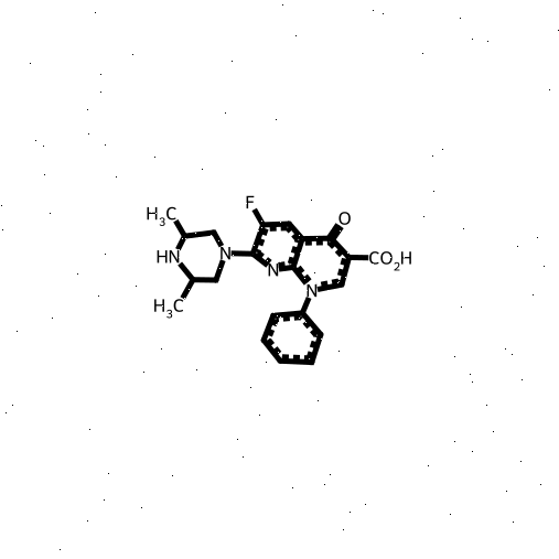 CC1CN(c2nc3c(cc2F)c(=O)c(C(=O)O)cn3-c2ccccc2)CC(C)N1